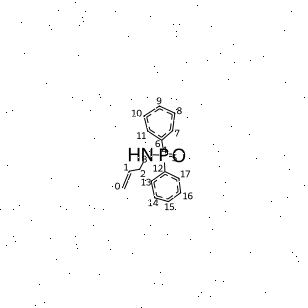 C=CCNP(=O)(c1ccccc1)c1ccccc1